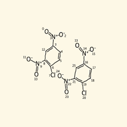 O=[N+]([O-])c1ccc(Cl)c([N+](=O)[O-])c1.O=[N+]([O-])c1ccc(Cl)c([N+](=O)[O-])c1